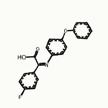 O=C(O)C(=Nc1ccc(Oc2ccccc2)cc1)c1ccc(F)cc1